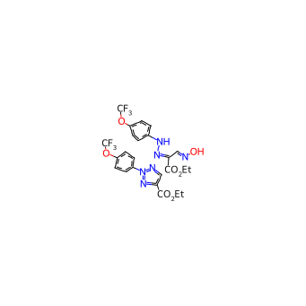 CCOC(=O)C(/C=N/O)=N/Nc1ccc(OC(F)(F)F)cc1.CCOC(=O)c1cnn(-c2ccc(OC(F)(F)F)cc2)n1